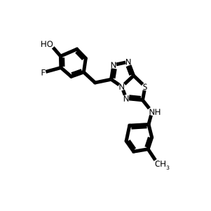 Cc1cccc(Nc2nn3c(Cc4ccc(O)c(F)c4)nnc3s2)c1